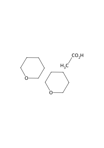 C1CCOCC1.C1CCOCC1.CC(=O)O